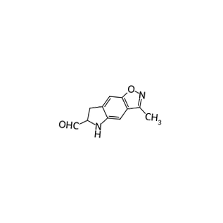 Cc1noc2cc3c(cc12)NC(C=O)C3